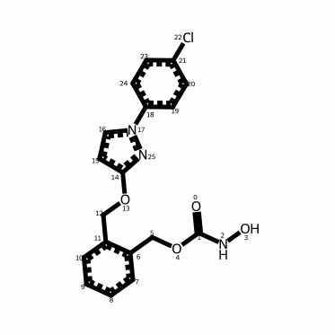 O=C(NO)OCc1ccccc1COc1ccn(-c2ccc(Cl)cc2)n1